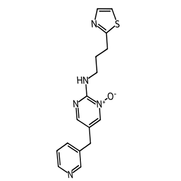 [O-][n+]1cc(Cc2cccnc2)cnc1NCCCc1nccs1